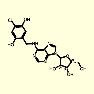 OC[C@H]1OC(n2cnc3c(NCc4cc(O)c(Cl)cc4O)ncnc32)[C@H](O)[C@@H]1O